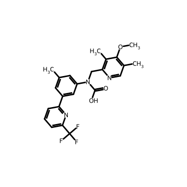 COc1c(C)cnc(CN(C(=O)O)c2cc(C)cc(-c3cccc(C(F)(F)F)n3)c2)c1C